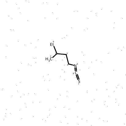 CCC(C)CCN=C=S